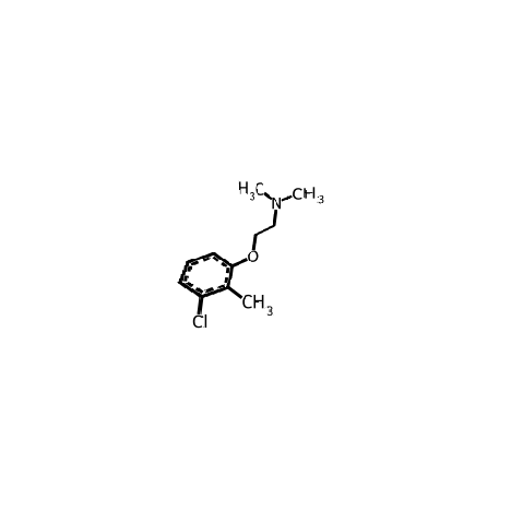 Cc1c(Cl)cccc1OCCN(C)C